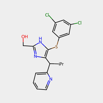 CC(C)C(c1ccccn1)c1nc(CO)[nH]c1Sc1cc(Cl)cc(Cl)c1